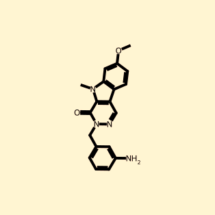 COc1ccc2c3cnn(Cc4cccc(N)c4)c(=O)c3n(C)c2c1